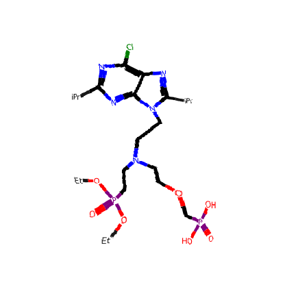 CCOP(=O)(CCN(CCOCP(=O)(O)O)CCn1c(C(C)C)nc2c(Cl)nc(C(C)C)nc21)OCC